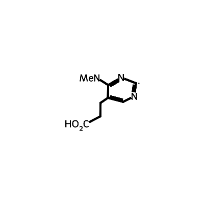 CNc1n[c]ncc1CCC(=O)O